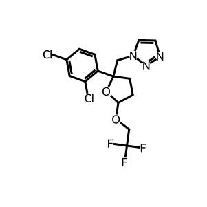 FC(F)(F)COC1CCC(Cn2ccnn2)(c2ccc(Cl)cc2Cl)O1